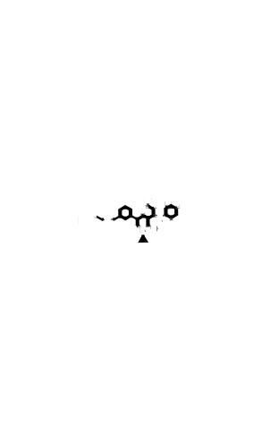 Cc1ccc(Nc2c(C)c(=O)oc3c(-c4cccc(CSCCO)c4)c(C)n(C4CC4)c(=O)c23)c(F)c1